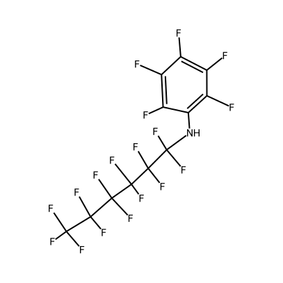 Fc1c(F)c(F)c(NC(F)(F)C(F)(F)C(F)(F)C(F)(F)C(F)(F)C(F)(F)F)c(F)c1F